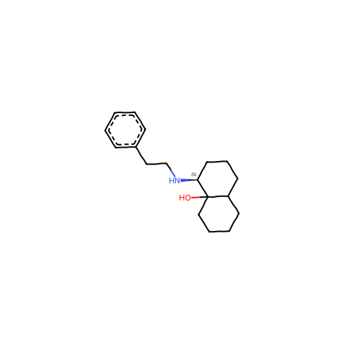 OC12CCCCC1CCC[C@@H]2NCCc1ccccc1